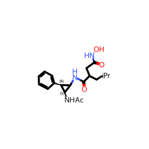 CC(=O)N[C@@H]1C(NC(=O)C(CC(=O)NO)CC(C)C)[C@@H]1c1ccccc1